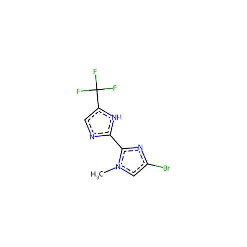 Cn1cc(Br)nc1-c1ncc(C(F)(F)F)[nH]1